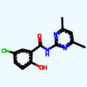 Cc1cc(C)nc(NC(=O)c2cc(Cl)ccc2O)n1